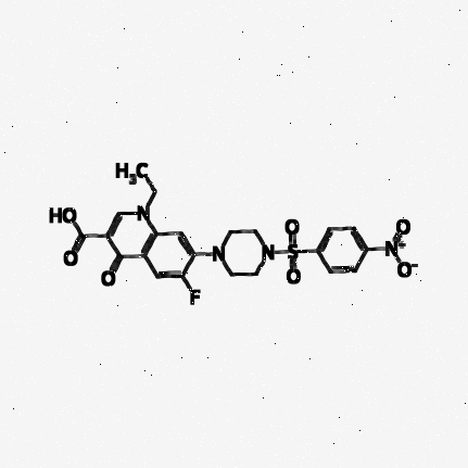 CCn1cc(C(=O)O)c(=O)c2cc(F)c(N3CCN(S(=O)(=O)c4ccc([N+](=O)[O-])cc4)CC3)cc21